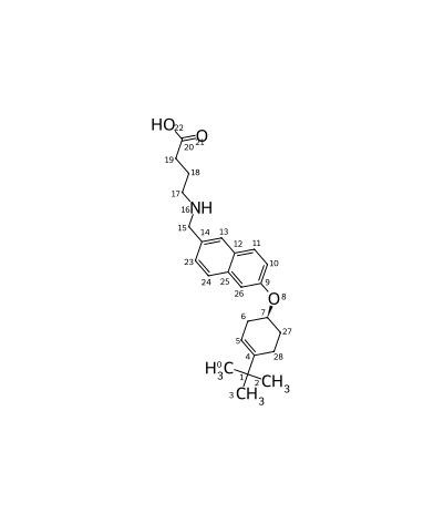 CC(C)(C)C1=CC[C@@H](Oc2ccc3cc(CNCCCC(=O)O)ccc3c2)CC1